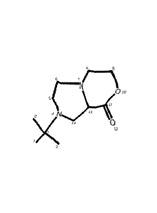 CC(C)(C)N1CCN2CCOC(=O)C2C1